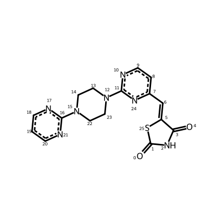 O=C1NC(=O)C(=Cc2ccnc(N3CCN(c4ncccn4)CC3)n2)S1